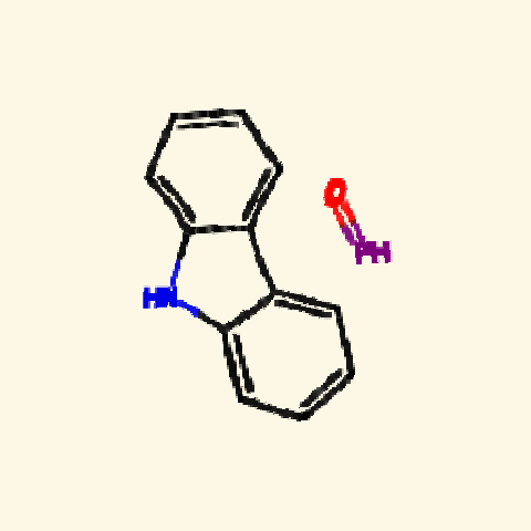 O=P.c1ccc2c(c1)[nH]c1ccccc12